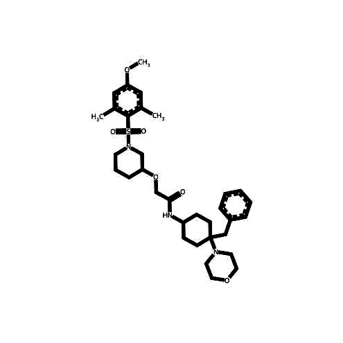 COc1cc(C)c(S(=O)(=O)N2CCCC(OCC(=O)NC3CCC(Cc4ccccc4)(N4CCOCC4)CC3)C2)c(C)c1